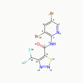 O=C(Nc1ncc(Br)cc1Br)c1snnc1C(F)F